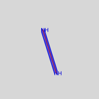 N=N/N=N/N=N/N=N/N=N/N=N/N=N/N=N/N=N/N=N/N=N/N=N/N=N/N=N/N=N/N=N/N=N/N=N/N=N/N=N/N=N/N=N/N=N/N=N/N=N/N=N/N=N/N=N/N=N/N=N/N=N/N=N/N=N/N=N/N=N/N=N/N=N/N=N/N=N/N=N/N=N/N=N/N=N/N=N/N=N/N=N/N=N/N=N/N=N